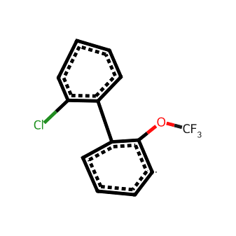 FC(F)(F)Oc1[c]cccc1-c1ccccc1Cl